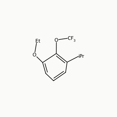 [CH2]C(C)c1cccc(OCC)c1OC(F)(F)F